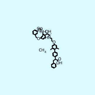 C.Cc1cc(OCCN[C@@H](C)[C@H](O)c2ccc3cc2NS(=O)(=O)c2cccc(c2)CO3)cc(C)c1-c1ccc(C(Cc2ccccc2)C(=O)O)cc1